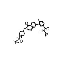 Cc1ccc(C(=O)NC2CC2)cc1-c1ccc2c(=O)n(CC3CCN(C(=O)OC(C)(C)C)CC3)ccc2c1